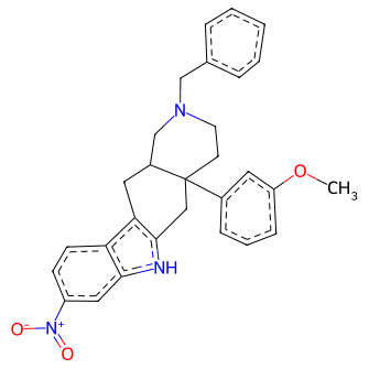 COc1cccc(C23CCN(Cc4ccccc4)CC2Cc2c([nH]c4cc([N+](=O)[O-])ccc24)C3)c1